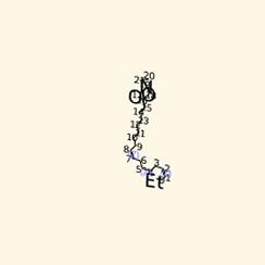 CC/C=C\C/C=C\C/C=C\CCCCCCCC(=O)ON1CC1